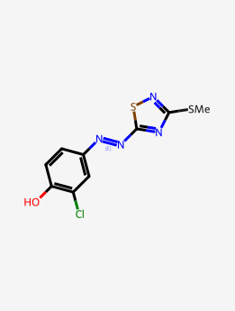 CSc1nsc(/N=N/c2ccc(O)c(Cl)c2)n1